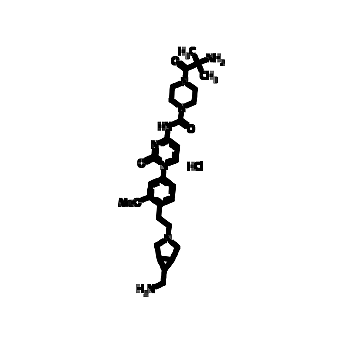 COc1cc(-n2ccc(NC(=O)N3CCN(C(=O)C(C)(C)N)CC3)nc2=O)ccc1CCN1CC2C(CN)C2C1.Cl